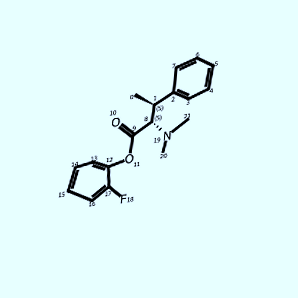 C[C@@H](c1ccccc1)[C@@H](C(=O)Oc1ccccc1F)N(C)C